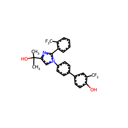 CC(C)(O)c1cn(-c2ccc(-c3ccc(O)c(C(F)(F)F)c3)cc2)c(-c2ccccc2C(F)(F)F)n1